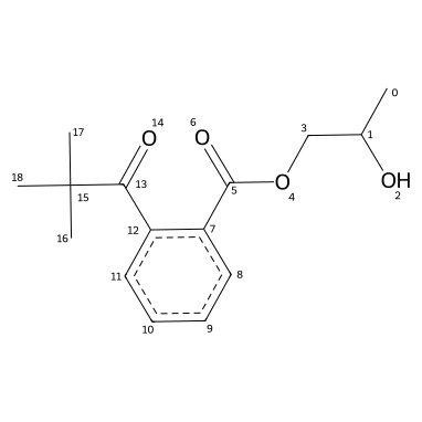 CC(O)COC(=O)c1ccccc1C(=O)C(C)(C)C